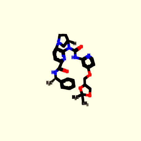 CC1(C)OCC(COc2ccnc(NC(=O)N3c4nc(C(=O)N[C@H](c5ccccc5)C(F)(F)F)ccc4N4CC[C@H]3C4)c2)O1